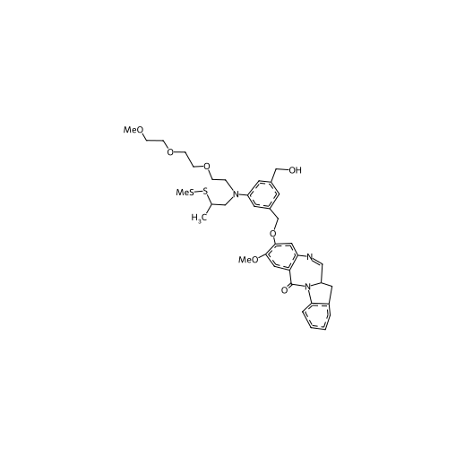 COCCOCCOCCN(CC(C)SSC)c1cc(CO)cc(COc2cc3c(cc2OC)C(=O)N2c4ccccc4CC2C=N3)c1